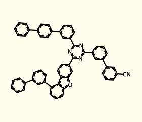 N#Cc1cccc(-c2cccc(-c3nc(-c4cccc(-c5ccc(-c6ccccc6)cc5)c4)nc(-c4ccc5c(c4)oc4cccc(-c6cccc(-c7ccccc7)c6)c45)n3)c2)c1